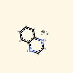 [AlH3].c1ccc2nccnc2c1